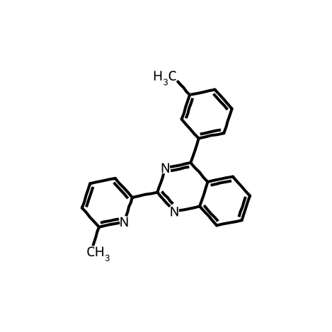 Cc1cccc(-c2nc(-c3cccc(C)n3)nc3ccccc23)c1